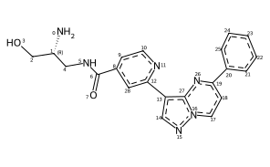 N[C@@H](CO)CNC(=O)c1ccnc(-c2cnn3ccc(-c4ccccc4)nc23)c1